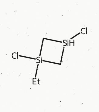 CC[Si]1(Cl)C[SiH](Cl)C1